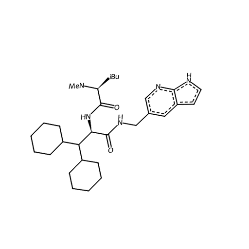 CCC(C)[C@H](NC)C(=O)N[C@@H](C(=O)NCc1cnc2[nH]ccc2c1)C(C1CCCCC1)C1CCCCC1